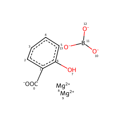 O=C([O-])c1ccccc1O.[Mg+2].[Mg+2].[O-]B([O-])[O-]